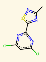 Cc1nsc(-c2nc(Cl)cc(Cl)n2)n1